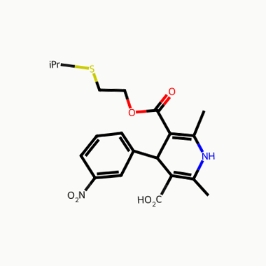 CC1=C(C(=O)O)C(c2cccc([N+](=O)[O-])c2)C(C(=O)OCCSC(C)C)=C(C)N1